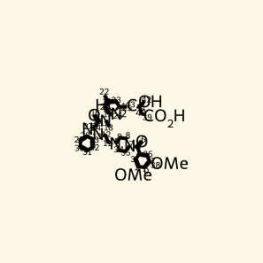 COc1ccc(C(=O)N2CCN(CCn3c(C(=O)N(C)c4cc(C)cc(C)n4)nc4ccccc43)CC2)cc1OC.O=C(O)CC(O)C(=O)O